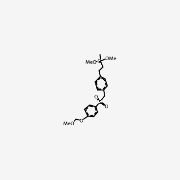 COCOc1ccc(S(=O)(=O)Cc2ccc(CC[Si](C)(OC)OC)cc2)cc1